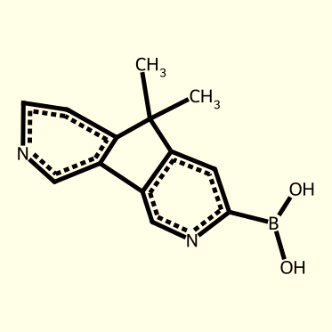 CC1(C)c2ccncc2-c2cnc(B(O)O)cc21